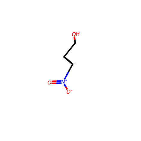 O=[N+]([O-])[CH]CCO